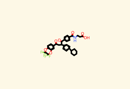 O=C(O)CCNC(=O)c1ccc(C(=O)C(CC(=O)c2ccc3c(c2)OC(F)(F)C(F)(F)O3)c2ccc(C3CCCCC3)cc2)cc1